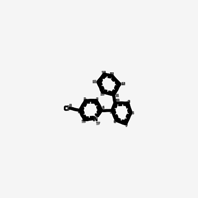 Clc1ccc(-c2ccccc2-c2ccccc2)nc1